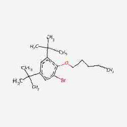 CCCCCOc1c(Br)cc(C(C)(C)C)cc1C(C)(C)C